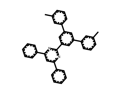 Cc1cccc(-c2cc(-c3cccc(C)c3)cc(-c3nc(-c4ccccc4)cc(-c4ccccc4)n3)c2)c1